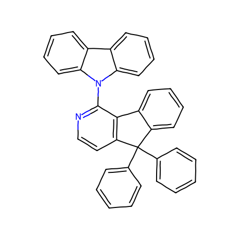 c1ccc(C2(c3ccccc3)c3ccccc3-c3c2ccnc3-n2c3ccccc3c3ccccc32)cc1